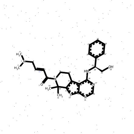 CN(C)C/C=C/C(=O)N1CCc2c(sc3ncnc(N[C@H](CO)c4ccccc4)c23)C1(C)C